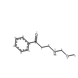 COCNCCC(=O)c1ccccc1